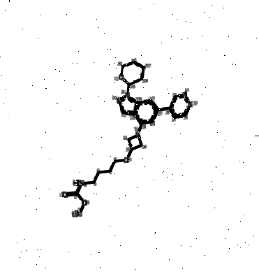 CC(C)(C)OC(=O)NCCCCOC1CN(c2cc(-c3ccnnc3)cc3c2cnn3C2CCCCO2)C1